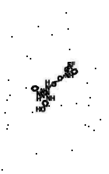 O=C(NCCOCCOCCNc1nc(Nc2ccccc2)nc(Nc2ccc(O)cc2)n1)c1ccccc1C(F)(F)F